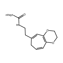 CCCCCCCC(=O)NCCC1=CC2=C(C=CC1)OCCO2